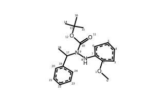 COc1ccccc1NN(C(=O)OC(C)(C)C)C(C)c1ccccc1